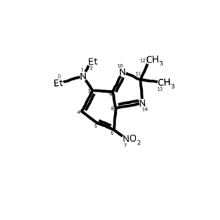 CCN(CC)c1ccc([N+](=O)[O-])c2c1=NC(C)(C)N=2